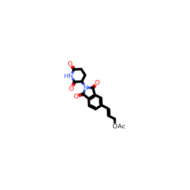 CC(=O)OCC=Cc1ccc2c(c1)C(=O)N(C1CCC(=O)NC1=O)C2=O